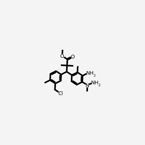 COC(=O)C(C)(C)C(c1ccc(C)c(CCl)c1)c1ccc(N(C)N)c(N)c1C